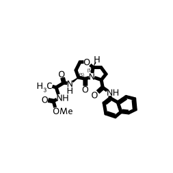 COC(=O)NC(C)C(=O)N[C@H]1CCO[C@H]2CCC(C(=O)Nc3cccc4ccccc34)N2C1=O